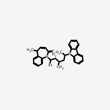 C=C1C=CC(C)c2ccccc2N1C(CC)CC(C)CC(C)n1c2ccccc2c2ccccc21